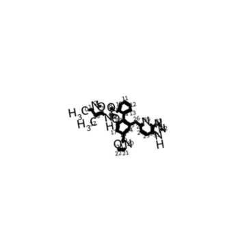 Cc1noc(NS(=O)(=O)c2ccccc2-c2ccc(-c3ncco3)cc2Cc2ccc3[nH]nnc3n2)c1C